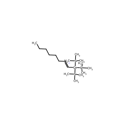 CCCCCC/C=[CH]/[Ge]([Si](C)(C)C)([Si](C)(C)C)[Si](C)(C)C